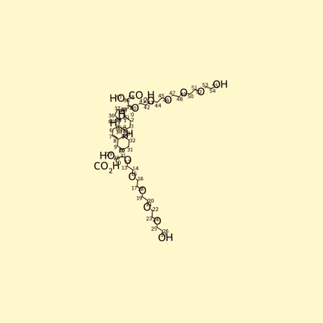 C[C@]12CC[C@H]3[C@@H](CC=C4C[C@@H](C(OCCOCCOCCOCCOCCO)C(O)C(=O)O)CC[C@@]43C)[C@@H]1CC[C@@H]2C(OCCOCCOCCOCCOCCO)C(O)C(=O)O